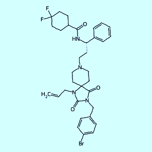 C=CCN1C(=O)N(Cc2ccc(Br)cc2)C(=O)C12CCN(CC[C@H](NC(=O)C1CCC(F)(F)CC1)c1ccccc1)CC2